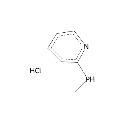 CPc1ccccn1.Cl